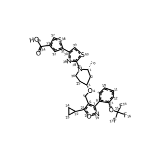 C[C@@H]1C[C@H](OCc2c(-c3ccccc3OC(F)(F)F)noc2C2CC2)CCN1c1nc(-c2cc(C(=O)O)cs2)cs1